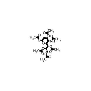 CC(=O)N[C@H]1[C@H]([C@H](OC(C)=O)[C@@H](COC(C)=O)OC(C)=O)OC(OC(C)=O)C[C@@H]1OC(C)=O